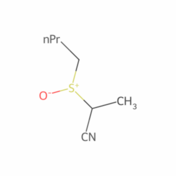 CCCC[S+]([O-])C(C)C#N